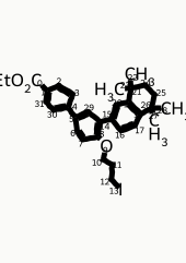 CCOC(=O)c1ccc(-c2ccc(OCCCI)c(-c3ccc4c(c3)C(C)(C)CCC4(C)C)c2)cc1